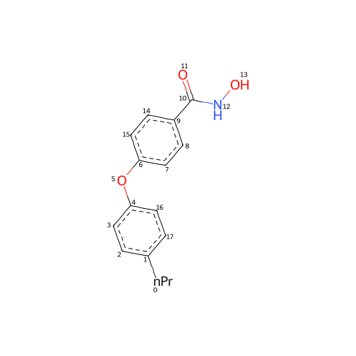 CCCc1ccc(Oc2ccc(C(=O)NO)cc2)cc1